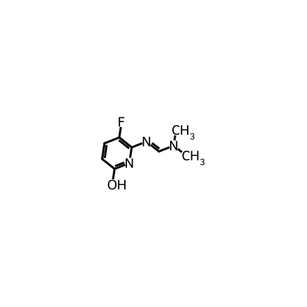 CN(C)/C=N/c1nc(O)ccc1F